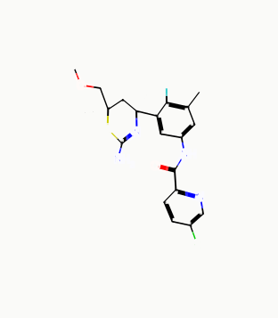 COC[C@@]1(C)C[C@@](C)(c2cc(NC(=O)c3ccc(Cl)cn3)cc(C)c2F)N=C(N)S1